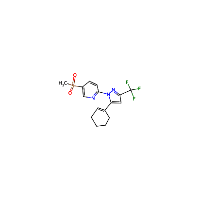 CS(=O)(=O)c1ccc(-n2nc(C(F)(F)F)cc2C2=CCCCC2)nc1